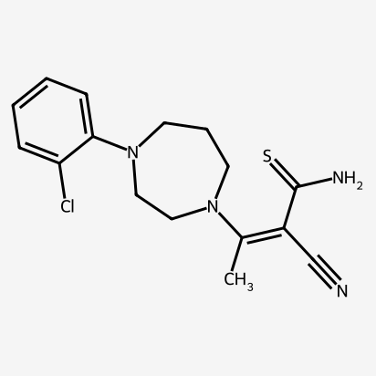 CC(=C(C#N)C(N)=S)N1CCCN(c2ccccc2Cl)CC1